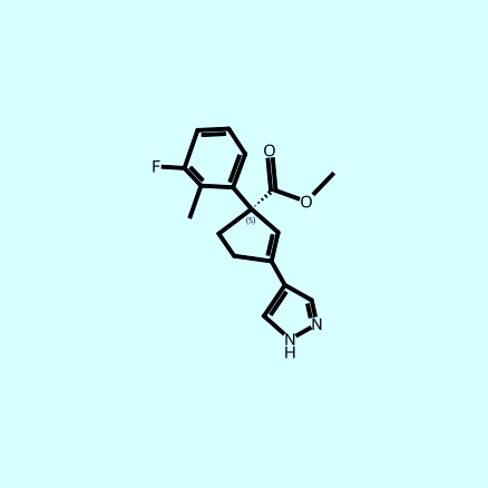 COC(=O)[C@]1(c2cccc(F)c2C)C=C(c2cn[nH]c2)CC1